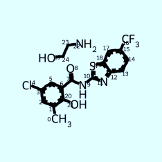 Cc1cc(Cl)cc(C(=O)Nc2nc3ccc(C(F)(F)F)cc3s2)c1O.NCCO